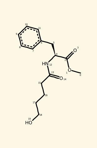 COC(=O)[C@H](Cc1ccccc1)NC(=O)CCCCO